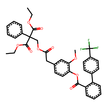 CCOC(=O)C(COC(=O)Cc1ccc(OC(=O)c2ccccc2-c2ccc(C(F)(F)F)cc2)c(OC)c1)(C(=O)OCC)c1ccccc1